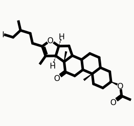 CC(=O)O[C@H]1CC[C@@]2(C)C(CCC3C2CC(=O)[C@@]2(C)C3C[C@@H]3OC(CCC(C)CI)=C(C)[C@@H]32)C1